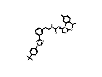 Cc1ccc(C(C)C)c(N2C(=O)SC/C2=N\C(=O)NCCc2cccc(-c3ncn(-c4ccc(C(F)(F)F)cc4)n3)c2)c1